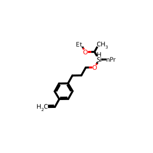 C=Cc1ccc(CCCO[SiH](CCC)C(C)OCC)cc1